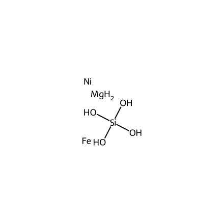 O[Si](O)(O)O.[Fe].[MgH2].[Ni]